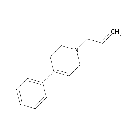 C=CCN1CC=C(c2ccccc2)CC1